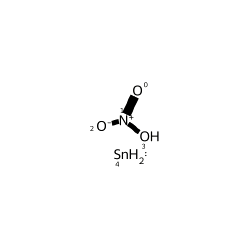 O=[N+]([O-])O.[SnH2]